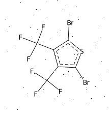 FC(F)(F)c1c(Br)sc(Br)c1C(F)(F)F